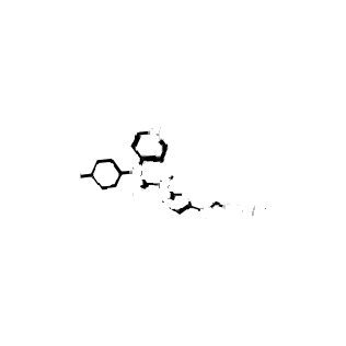 CC1CCC(N(C(=O)N(C)c2ncc(SCC(=O)O)s2)c2ccncc2)CC1